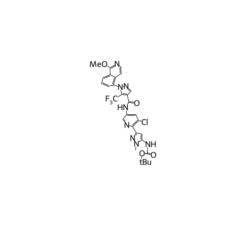 COc1nccc2c(-n3ncc(C(=O)Nc4cnc(-c5cc(NC(=O)OC(C)(C)C)n(C)n5)c(Cl)c4)c3C(F)(F)F)cccc12